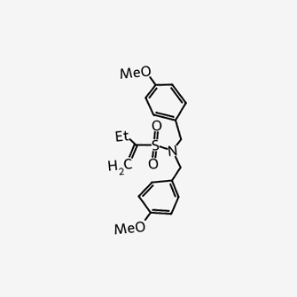 C=C(CC)S(=O)(=O)N(Cc1ccc(OC)cc1)Cc1ccc(OC)cc1